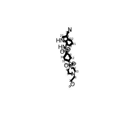 COCCN1CCN(S(=O)(=O)c2ccc(S(=O)(=O)Nc3cccc4c(C#N)c[nH]c34)cc2)CC1